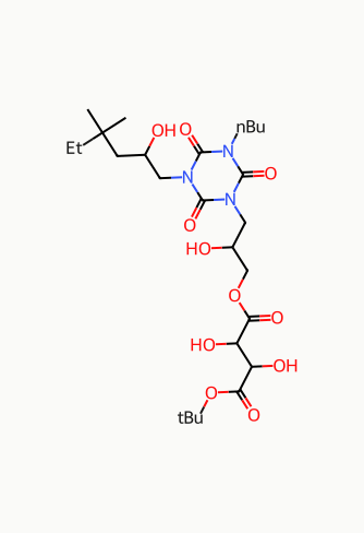 CCCCn1c(=O)n(CC(O)COC(=O)C(O)C(O)C(=O)OC(C)(C)C)c(=O)n(CC(O)CC(C)(C)CC)c1=O